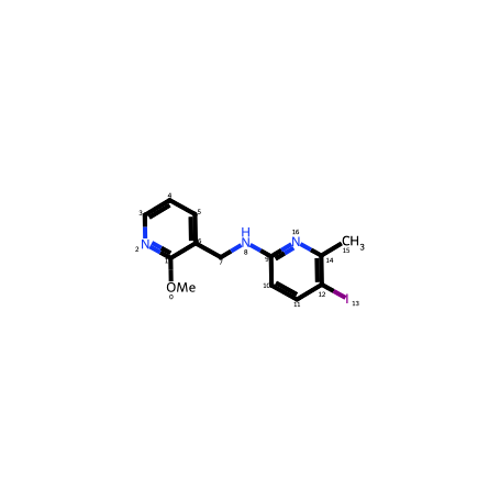 COc1ncccc1CNc1ccc(I)c(C)n1